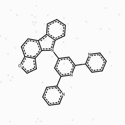 c1ccc(-c2cc(-n3c4ccccc4c4ccc5occc5c43)cc(-c3ccccn3)n2)nc1